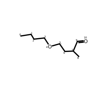 CCCCO[CH]CC(C)C=O